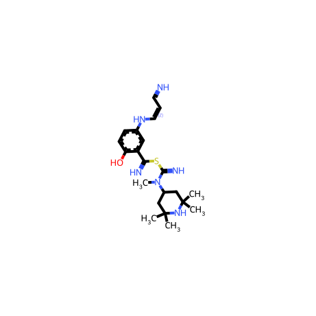 CN(C(=N)SC(=N)c1cc(N/C=C\C=N)ccc1O)C1CC(C)(C)NC(C)(C)C1